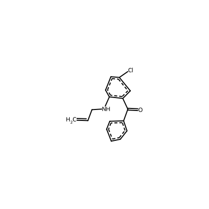 C=CCNc1ccc(Cl)cc1C(=O)c1ccccc1